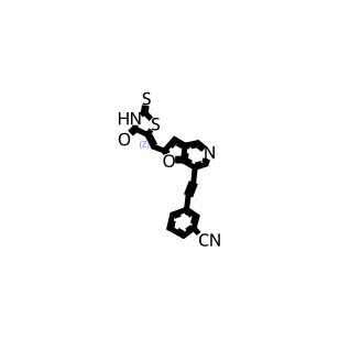 N#Cc1cccc(C#Cc2cncc3cc(/C=C4\SC(=S)NC4=O)oc23)c1